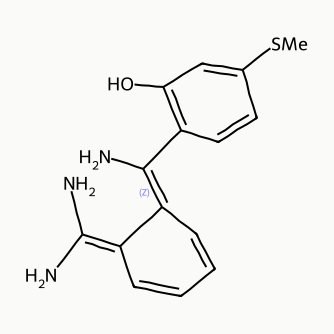 CSc1ccc(/C(N)=c2\ccccc2=C(N)N)c(O)c1